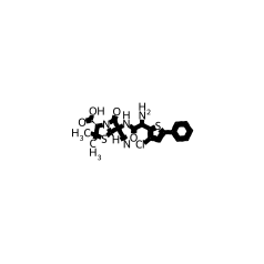 CC1(C)S[C@H]2N(C(=O)C2(C#N)NC(=O)C(N)c2sc(-c3ccccc3)cc2Cl)[C@H]1C(=O)O